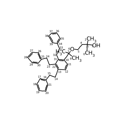 CC(C)(O)CCOC(C)(C)c1ccc(CCc2ccccc2)c(CCc2ccccc2)c1CCc1ccccc1